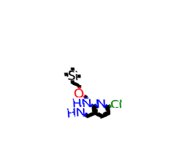 C[Si](C)(C)CCOCNc1nc(Cl)ccc1C=N